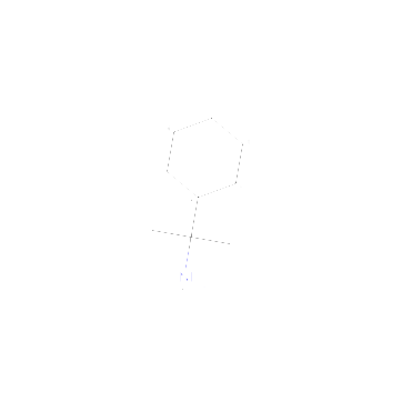 CC(C)(N)C1C[CH]CCC1